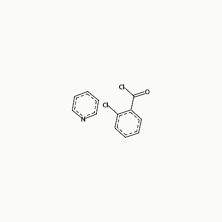 O=C(Cl)c1ccccc1Cl.c1ccncc1